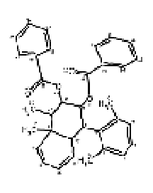 Cc1cccc(C)c1C1C(OC(=O)c2ccccc2)C(OC(=O)c2ccccc2)C(C)C2(C)C=CC=CC12